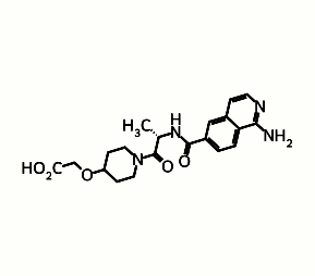 C[C@H](NC(=O)c1ccc2c(N)nccc2c1)C(=O)N1CCC(OCC(=O)O)CC1